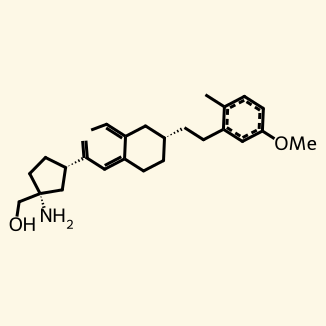 C=C(/C=C1/CC[C@@H](CCc2cc(OC)ccc2C)C/C1=C/C)[C@H]1CC[C@](N)(CO)C1